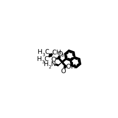 CC(C)(C)OC(=O)[C@@](CN)(C(=O)O)c1cccc2ccccc12